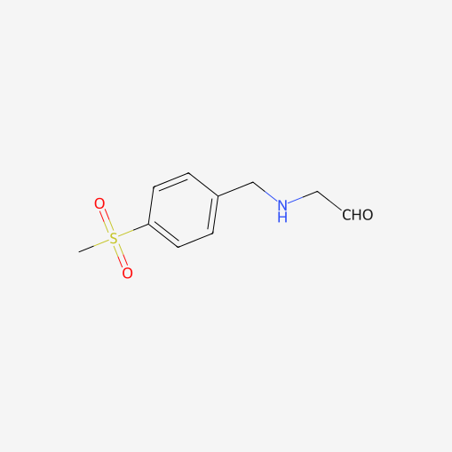 CS(=O)(=O)c1ccc(CNCC=O)cc1